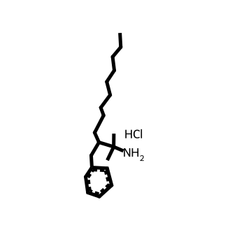 CCCCCCCCCC(Cc1ccccc1)C(C)(C)N.Cl